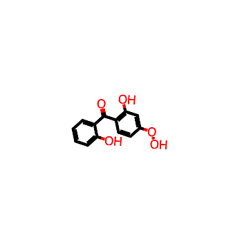 O=C(c1ccccc1O)c1ccc(OO)cc1O